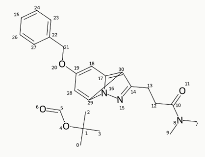 CC(C)(C)OC=O.CN(C)C(=O)CCc1nn2c3cc(OCc4ccccc4)cc2c13